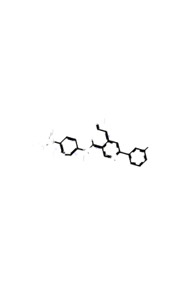 C=C/C=c1/cc(-c2cccc(F)c2)nc/c1=C(/C)NC(/C=C\C(=C/CC)N(CCC)CCC)=C/C